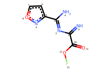 N=C(/N=C(\N)c1ccon1)C(=O)OF